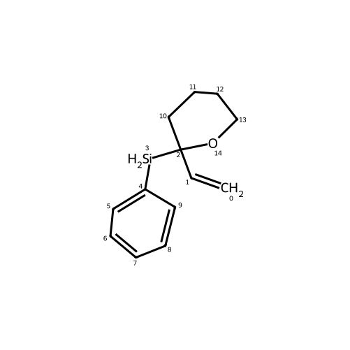 C=CC1([SiH2]c2ccccc2)CCCCO1